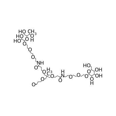 CC(O)C(CO)OC(OCCOCCOCCNC(=O)CCOCC(C)(COCCC=O)COCCC(=O)NCCOCCOCCOC1OC(CO)C(O)C(O)C1O)C(O)O